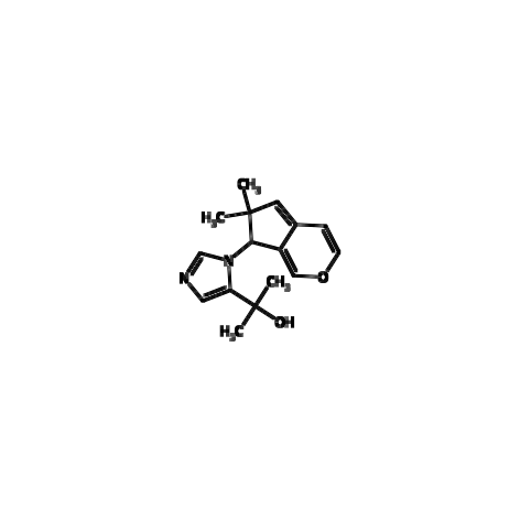 CC(C)(O)c1cncn1C1C2=COC=CC2=CC1(C)C